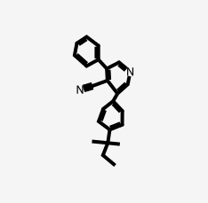 CCC(C)(C)c1ccc(-c2cncc(-c3ccccc3)c2C#N)cc1